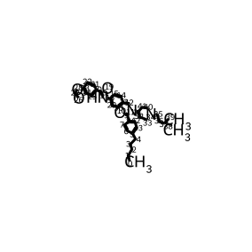 CCCCCc1ccc(C(=O)N(Cc2ccc(NC(=O)c3ccc4c(c3)OCO4)cc2)C2CCN(CCC(C)C)CC2)cc1